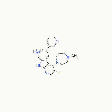 C=C(/C=c1\c(=C/N)[nH]c2ncc(F)c(N3CCCN(C)CC3)c12)c1cccnc1